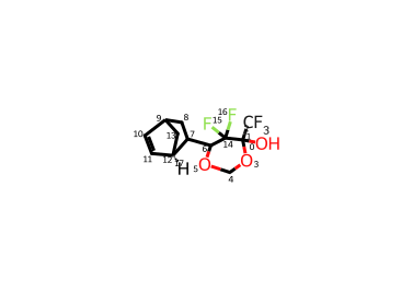 OC1(C(F)(F)F)OCOC(C2CC3C=C[C@H]2C3)C1(F)F